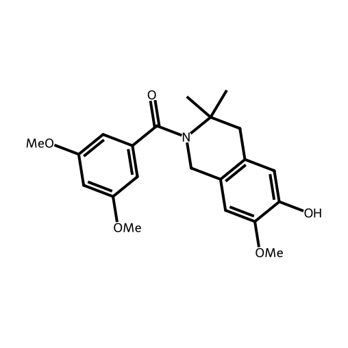 COc1cc(OC)cc(C(=O)N2Cc3cc(OC)c(O)cc3CC2(C)C)c1